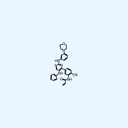 C=CC(=O)Nc1cc(-c2nc(Nc3cccc(N4CCOCC4)c3)ncc2Nc2ccccc2)ccc1C#N